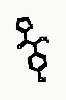 CN(C(=O)c1cccs1)c1ccc(C#N)cc1